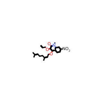 C=CCOc1c(OCC=C(C)CCC=C(C)C)c2ccc([N+](=O)[O-])cc2n(C)c1=O